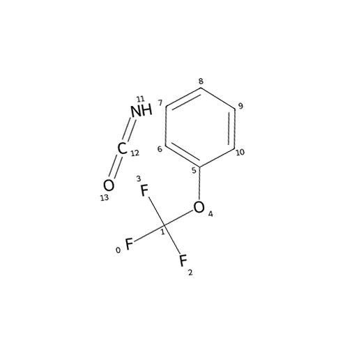 FC(F)(F)Oc1ccccc1.N=C=O